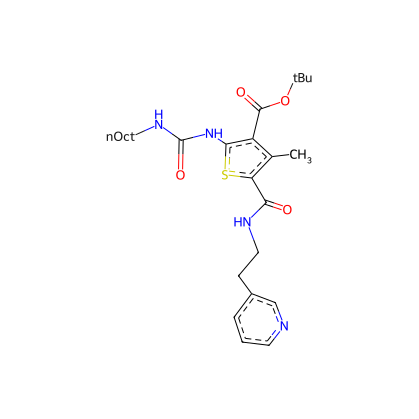 CCCCCCCCNC(=O)Nc1sc(C(=O)NCCc2cccnc2)c(C)c1C(=O)OC(C)(C)C